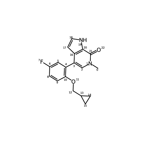 Cn1cc(-c2cc(F)ccc2OCC2CC2)c2cc[nH]c2c1=O